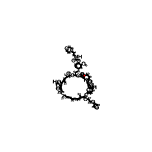 CO[C@@H]1C[C@H](CC[C@@H]2CC(=O)[C@H](C)/C=C(\C)[C@@H](O)[C@@H](OC)C(=O)[C@H](C)C[C@H](C)/C=C/C=C/C=C(\C)[C@@H](OCCOC3COC3)C[C@@H]3CC[C@@H](C)[C@@](O)(O3)C(=O)C(=O)N3CCCC[C@H]3C(=O)O2)CC[C@H]1OC(=O)NCCN1CCOCC1